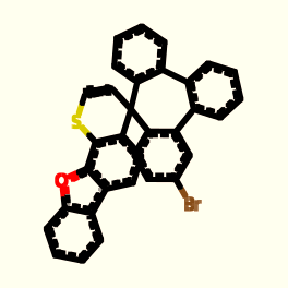 Brc1ccc2c(c1)-c1ccccc1-c1ccccc1C21c2ccccc2Sc2c1ccc1c2oc2ccccc21